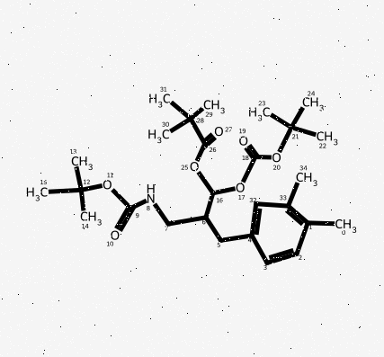 Cc1ccc(CC(CNC(=O)OC(C)(C)C)C(OC(=O)OC(C)(C)C)OC(=O)C(C)(C)C)cc1C